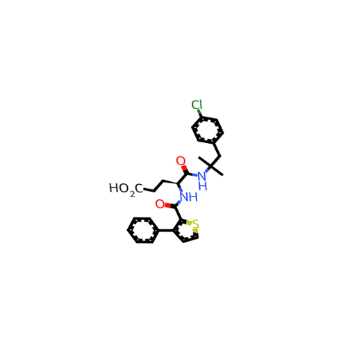 CC(C)(Cc1ccc(Cl)cc1)NC(=O)[C@H](CCC(=O)O)NC(=O)c1sccc1-c1ccccc1